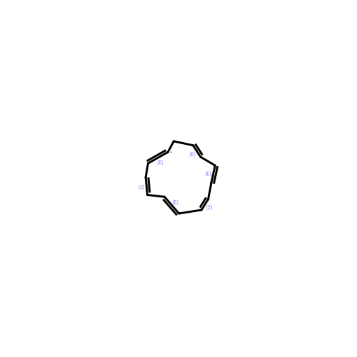 [C]1=C/C=C\C=C\C=C/C=C/C=C/C/1